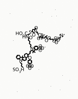 CC(C)(CC(C)(Br)C(=O)OCCOP(=O)(O)OCC[N+](C)(C)C)C(=O)OCCN1C(=O)CC(SC[C@H](NC(=O)CCCCC[N+]2=C(/C=C/C3=C(Oc4ccc(S(=O)(=O)[O-])cc4)C(=C/C=C4/N(CCCCS(=O)(=O)O)c5ccccc5C4(C)C)/CCC3)C(C)(C)c3cc(S(=O)(=O)[O-])ccc32)C(=O)O)C1=O